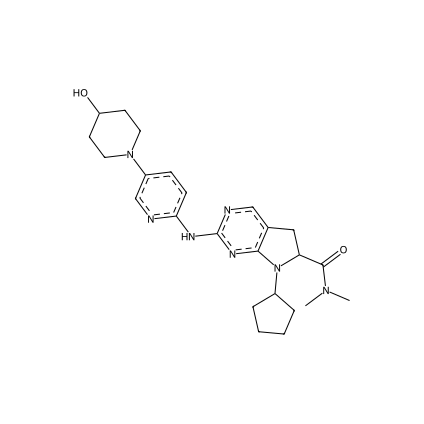 CN(C)C(=O)C1Cc2cnc(Nc3ccc(N4CCC(O)CC4)cn3)nc2N1C1CCCC1